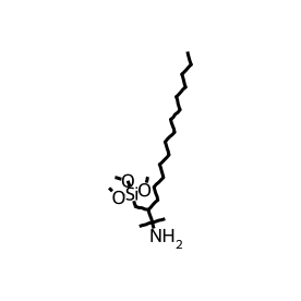 CCCCCCCCCCCCCCC(C[Si](OC)(OC)OC)C(C)(C)N